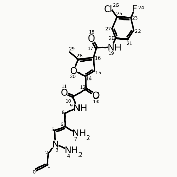 C=CCN(N)/C=C(\N)CNC(=O)C(=O)c1cc(C(=O)Nc2ccc(F)c(Cl)c2)c(C)o1